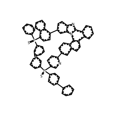 S=P(c1ccccc1)(c1ccc(-c2ccccc2)cc1)c1ccc(-c2ccc3c(ccc4c5ccccc5c5nc6ccc(-c7ccc(P(=S)(c8ccccc8)c8ccccc8)c8ccccc78)cc6n5c34)c2)nc1